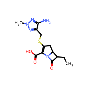 CCC1C(=O)N2C(C(=O)O)=C(SCc3nn(C)nc3N)CC12